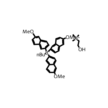 CCCC[B-](c1ccc2cc(OC)ccc2c1)(c1ccc2cc(OC)ccc2c1)c1ccc2cc(OC)ccc2c1.C[N+](C)(C)CCO